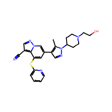 Cc1c(-c2cc(Sc3ccccn3)c3c(C#N)cnn3c2)cnn1C1CCN(CCO)CC1